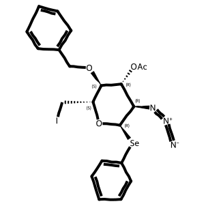 CC(=O)O[C@@H]1[C@@H](N=[N+]=[N-])[C@@H]([Se]c2ccccc2)O[C@H](CI)[C@H]1OCc1ccccc1